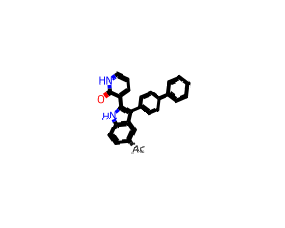 CC(=O)c1ccc2[nH]c(-c3ccc[nH]c3=O)c(C3=CCC(C4=CCCC=C4)C=C3)c2c1